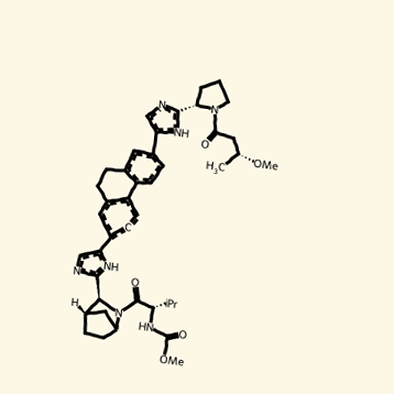 COC(=O)N[C@H](C(=O)N1C2CC[C@@H](C2)[C@H]1c1ncc(-c2ccc3c(c2)CCc2cc(-c4cnc([C@@H]5CCCN5C(=O)C[C@@H](C)OC)[nH]4)ccc2-3)[nH]1)C(C)C